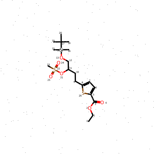 CCOC(=O)c1ccc(CCC(CO[Si](C)(C)C(C)(C)C)OS(C)(=O)=O)s1